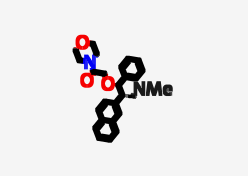 CNC[C@H](c1ccc2ccccc2c1)[C@H](OCC(=O)N1CCOCC1)c1ccccc1